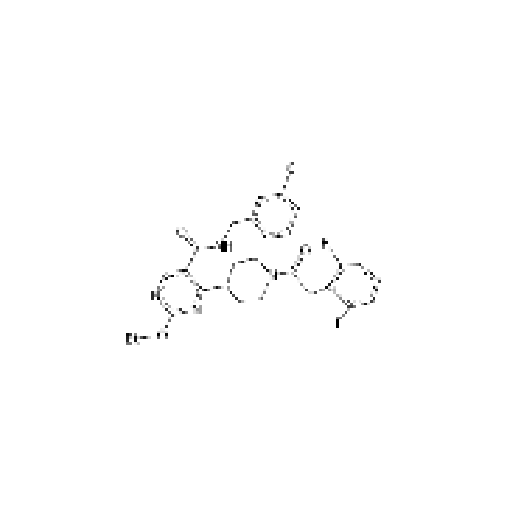 CCOc1ncc(C(=O)NCc2cccc(Cl)c2)c(C2CCN(C(=O)Cc3c(F)cccc3F)CC2)n1